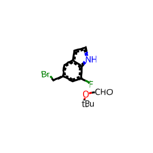 CC(C)(C)OC=O.Fc1cc(CBr)cc2cc[nH]c12